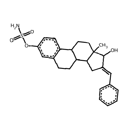 CC12CCC3c4ccc(OS(N)(=O)=O)cc4CCC3C1CC(=Cc1ccccc1)C2O